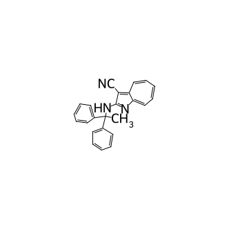 CC(Nc1nc2cccccc-2c1C#N)(c1ccccc1)c1ccccc1